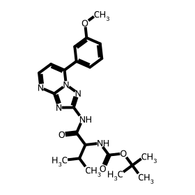 COc1cccc(-c2ccnc3nc(NC(=O)C(NC(=O)OC(C)(C)C)C(C)C)nn23)c1